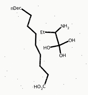 CCC(N)C(O)(O)O.CCCCCCCCCCCCCCCCCC(=O)O